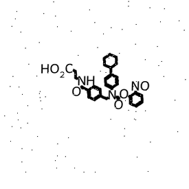 O=Nc1ccccc1OC(=O)N(Cc1ccc(C(=O)NCCC(=O)O)cc1)c1ccc(C2CCCCC2)cc1